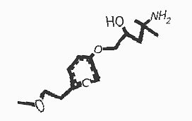 COCCc1ccc(OCC(O)CC(C)(C)N)cc1